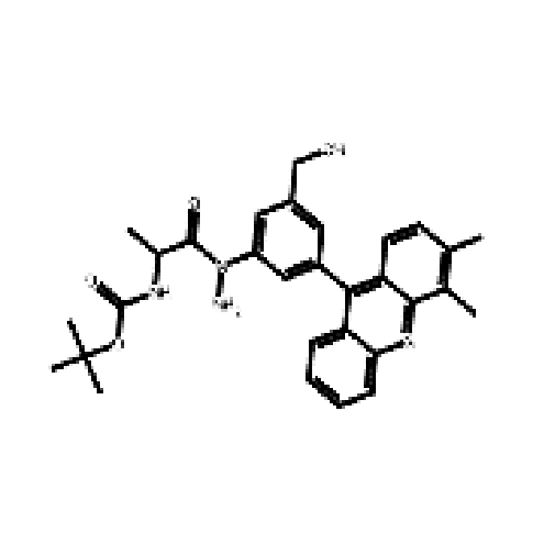 Cc1ccc2c(-c3cc(CO)cc(N(N)C(=O)C(C)NC(=O)OC(C)(C)C)c3)c3ccccc3nc2c1C